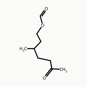 CC(=O)CCC(C)CCOC=O